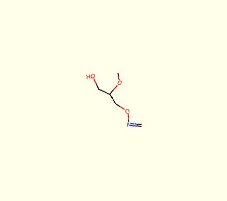 C=NOCC(CO)OC